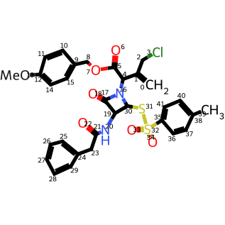 C=C(CCl)C(C(=O)OCc1ccc(OC)cc1)N1C(=O)C(NC(=O)Cc2ccccc2)C1SS(=O)(=O)c1ccc(C)cc1